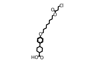 O=C(CCCl)OCCCCCCCCOc1ccc(C2CCC(C(=O)O)CC2)cc1